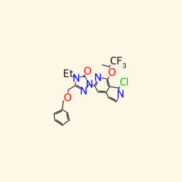 CCn1c(COCc2ccccc2)nn(-c2cc3ccnc(Cl)c3c(OC(C)C(F)(F)F)n2)c1=O